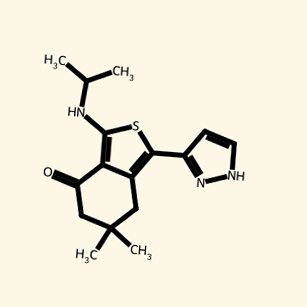 CC(C)Nc1sc(-c2cc[nH]n2)c2c1C(=O)CC(C)(C)C2